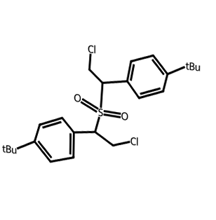 CC(C)(C)c1ccc(C(CCl)S(=O)(=O)C(CCl)c2ccc(C(C)(C)C)cc2)cc1